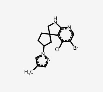 Cc1cnn(C2CCC3(CNc4ncc(Br)c(Cl)c43)C2)c1